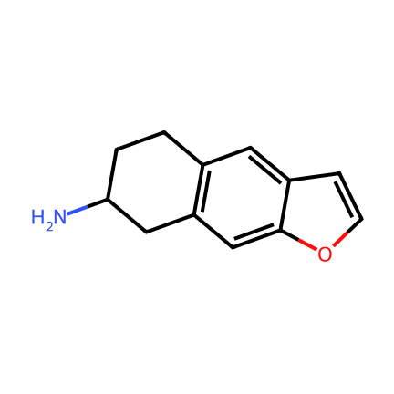 NC1CCc2cc3ccoc3cc2C1